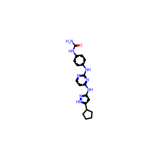 NC(=O)Nc1ccc(Nc2nccc(Nc3cc(C4CCCC4)[nH]n3)n2)cc1